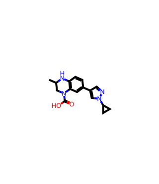 CC1CN(C(=O)O)c2cc(-c3cnn(C4CC4)c3)ccc2N1